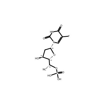 N#C[C@@H](OP(=O)(O)O)[C@H]1O[C@@H](n2cc(F)c(=O)[nH]c2=O)C[C@@H]1O